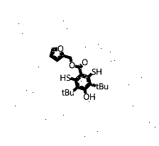 CC(C)(C)c1c(O)c(C(C)(C)C)c(S)c(C(=O)OCc2ccco2)c1S